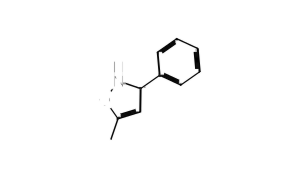 CC1=C[C](c2ccccc2)NO1